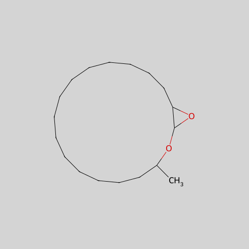 CC1CCCCCCCCCCCCCCC2OC2O1